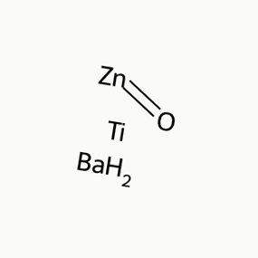 [BaH2].[O]=[Zn].[Ti]